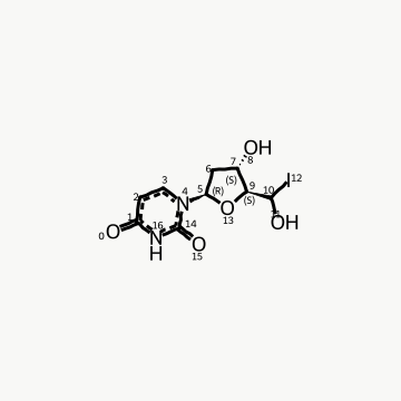 O=c1ccn([C@H]2C[C@H](O)[C@@H](C(O)I)O2)c(=O)[nH]1